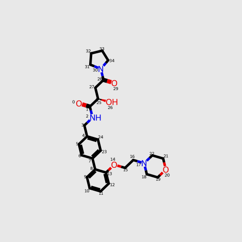 O=C(NCc1ccc(-c2ccccc2OCCN2CCOCC2)cc1)[C@H](O)CC(=O)N1CCCC1